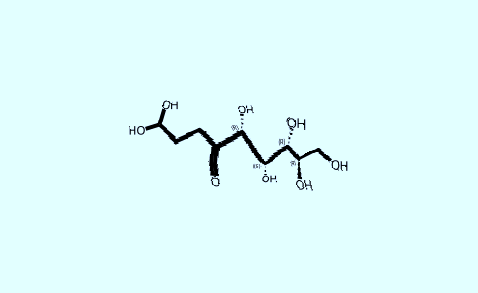 O=C(CCC(O)O)[C@H](O)[C@@H](O)[C@H](O)[C@H](O)CO